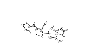 O=[C]C(NC(=O)N1CCN(N=C2C=CSC2)C1=O)c1cccs1